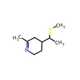 CSC(C)C1CCN=C(C)C1